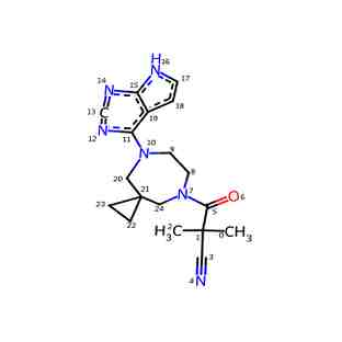 CC(C)(C#N)C(=O)N1CCN(c2ncnc3[nH]ccc23)CC2(CC2)C1